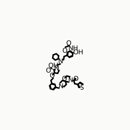 O=C1COc2c(CCN(CCN3CCC(OCCc4cccc(CN5CCC6(CC5)CN(C(=O)Cc5ccsc5)CCO6)c4)[C@H]3C(=O)O)C3CCCCC3)ccc(O)c2N1